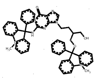 COc1ccccc1C(Nc1nc2c(ncn2CCC(CO)COC(c2ccccc2)(c2ccccc2)c2ccccc2OC)c(=O)[nH]1)(c1ccccc1)c1ccccc1